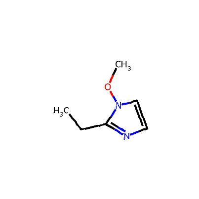 CCc1nccn1OC